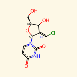 O=c1ccn([C@H]2O[C@@H](CO)C(O)/C2=C\Cl)c(=O)[nH]1